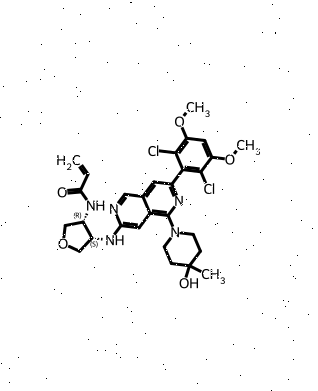 C=CC(=O)N[C@H]1COC[C@H]1Nc1cc2c(N3CCC(C)(O)CC3)nc(-c3c(Cl)c(OC)cc(OC)c3Cl)cc2cn1